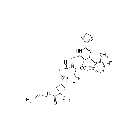 C=CCOC(=O)C1(C)CC(N2CC[C@H]3[C@@H]2C(F)(F)CN3CC2=C(C(=O)OCC)[C@H](c3cccc(F)c3C)N=C(c3nccs3)N2)C1